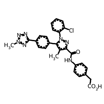 Cc1c(C(=O)Nc2ccc(CC(=O)O)cc2)nn(-c2ccccc2Cl)c1-c1ccc(-c2nnn(C)n2)cc1